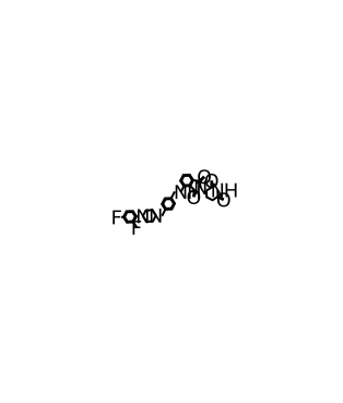 O=C1CCC(N2C(=O)c3cccc(NCc4ccc(CN5CCN(c6ccc(F)cc6F)CC5)cc4)c3C2=O)C(=O)N1